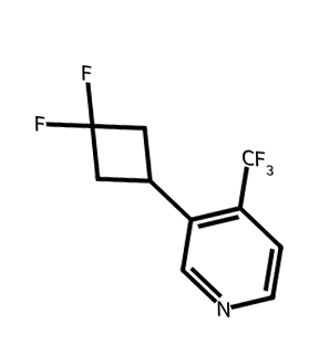 FC1(F)CC(c2cnccc2C(F)(F)F)C1